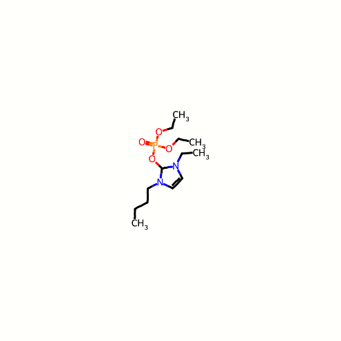 CCCCN1C=CN(CC)C1OP(=O)(OCC)OCC